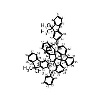 CC1(C)c2ccccc2-c2ccc(N(c3ccccc3)c3ccc4c(c3)C3(c5ccccc5-4)c4cccc(N(c5ccccc5)c5ccc6c(c5)C(C)(C)c5ccccc5-6)c4-c4oc5ccccc5c43)cc21